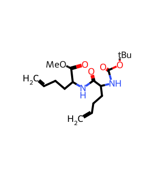 C=CCCC(NC(=O)OC(C)(C)C)C(=O)NC(CCC=C)C(=O)OC